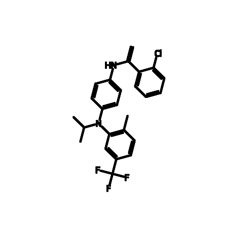 C=C(Nc1ccc(N(c2cc(C(F)(F)F)ccc2C)C(C)C)cc1)c1ccccc1Cl